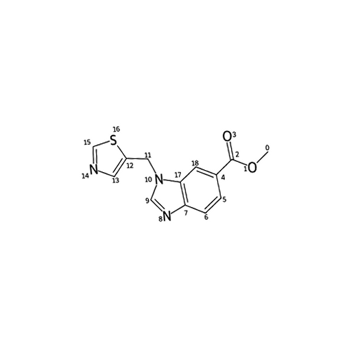 COC(=O)c1ccc2ncn(Cc3cncs3)c2c1